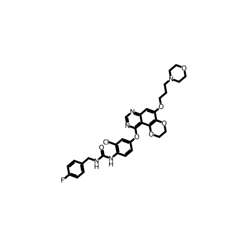 O=C(NCc1ccc(F)cc1)Nc1ccc(Oc2ncnc3cc(OCCCN4CCOCC4)c4c(c23)OCCO4)cc1Cl